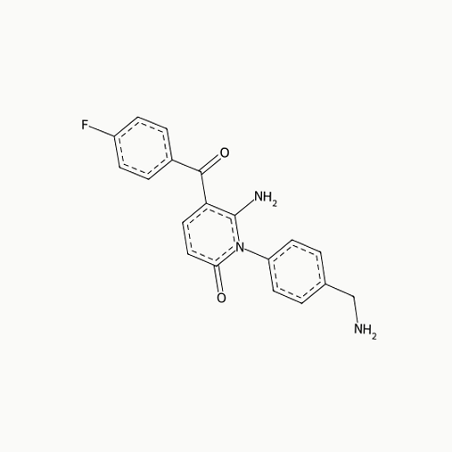 NCc1ccc(-n2c(N)c(C(=O)c3ccc(F)cc3)ccc2=O)cc1